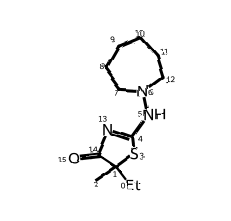 CCC1(C)SC(NN2CCCCCC2)=NC1=O